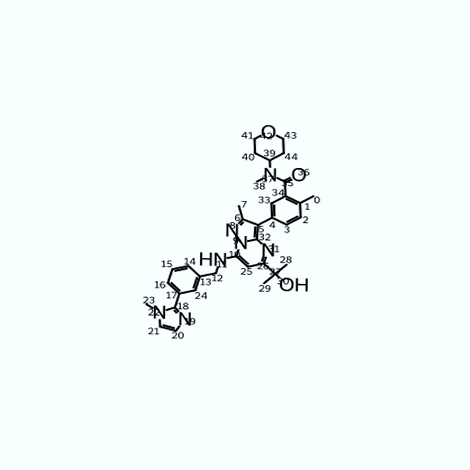 Cc1ccc(-c2c(C)nn3c(NCc4cccc(-c5nccn5C)c4)cc(C(C)(C)O)nc23)cc1C(=O)N(C)C1CCOCC1